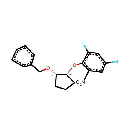 O=[N+]([O-])c1cc(F)cc(F)c1O[C@@H]1CCC[C@@H]1OCc1ccccc1